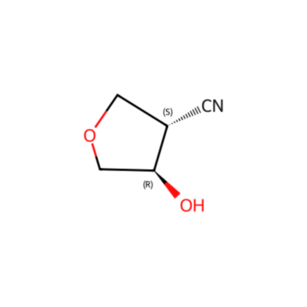 N#C[C@H]1COC[C@@H]1O